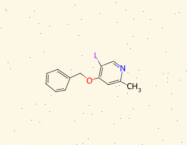 Cc1cc(OCc2ccccc2)c(I)cn1